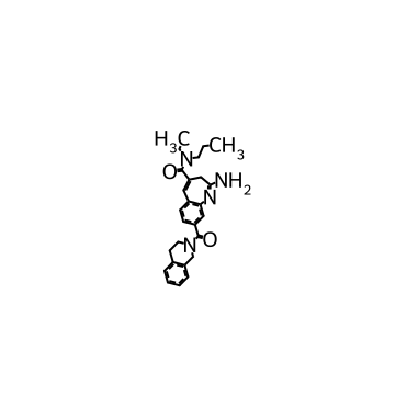 CCCN(CC)C(=O)C1=Cc2ccc(C(=O)N3CCc4ccccc4C3)cc2N=C(N)C1